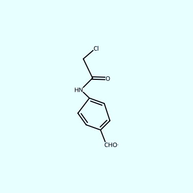 O=[C]c1ccc(NC(=O)CCl)cc1